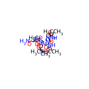 CN[C@@H](C)C(=O)CC1C(=O)N(C(C(C)=O)C(=O)[C@@H](N)CCC(N)=O)CCN1C(=O)C(N[C@H](C=O)CC(C)C)N1CCN(C)C(N[C@H](C=O)CC(C)C)C1=O